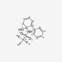 O=S(=O)(NC1(O)CC=CC=C1c1ccccc1)C(F)(F)F